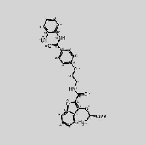 COC(C)Oc1c(C(=O)NCCOc2ccc(C(=O)Nc3ccccc3N)cc2)oc2ccccc12